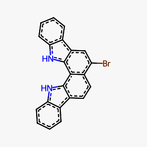 Brc1cc2c3ccccc3[nH]c2c2c1ccc1c3ccccc3[nH]c12